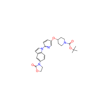 CC(C)(C)OC(=O)N1CCC(Oc2ccc(-n3ccc4cc(N5CCOC5=O)ccc43)nc2)CC1